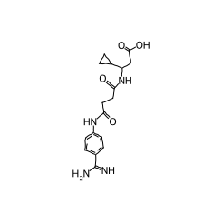 N=C(N)c1ccc(NC(=O)CCC(=O)NC(CC(=O)O)C2CC2)cc1